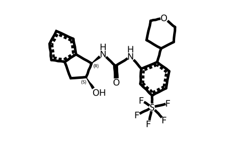 O=C(Nc1cc(S(F)(F)(F)(F)F)ccc1C1CCOCC1)N[C@@H]1c2ccccc2C[C@@H]1O